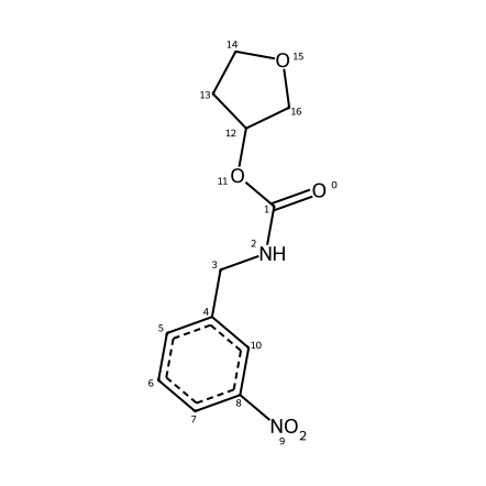 O=C(NCc1cccc([N+](=O)[O-])c1)OC1CCOC1